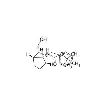 CC(C)(C)OC(=O)N[C@@H]1[C@@H]2CC[C@H]1N(Cc1ccccc1)[C@H]2CO